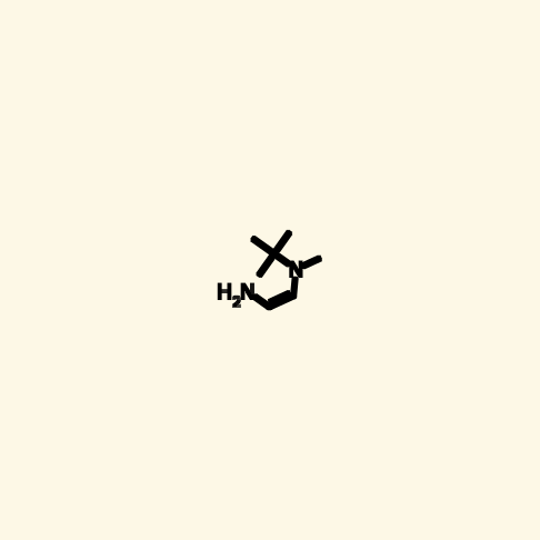 CN(/C=C\N)C(C)(C)C